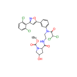 CC(C)(C)OC(=O)N1CC(O)CC1C(=O)NCCN(C(=O)C(Cl)Cl)c1cccc(-c2cc(-c3c(Cl)cccc3Cl)no2)c1